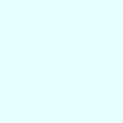 CC(C)=CCC1CCCC1